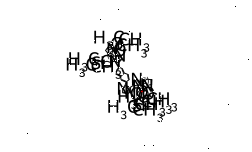 CC(C)(C)OC(=O)N1CCC[C@H]1c1ncc(-c2ccc3cc(-c4nccnc4-c4cnc([C@@H]5CCCN5C(=O)OC(C)(C)C)n4COCC[Si](C)(C)C)ccc3c2)n1COCC[Si](C)(C)C